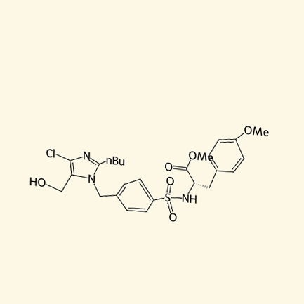 CCCCc1nc(Cl)c(CO)n1Cc1ccc(S(=O)(=O)N[C@@H](Cc2ccc(OC)cc2)C(=O)OC)cc1